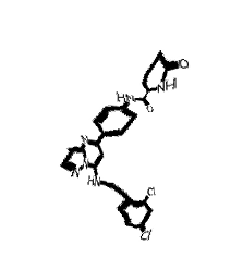 O=C1CC[C@H](C(=O)Nc2ccc(-c3cc(NCc4ccc(Cl)cc4Cl)n4nccc4n3)cc2)N1